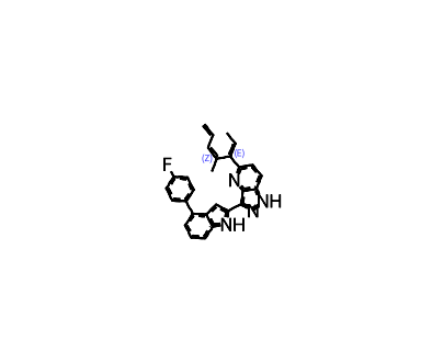 C=C/C=C(C)\C(=C/C)c1ccc2[nH]nc(-c3cc4c(-c5ccc(F)cc5)cccc4[nH]3)c2n1